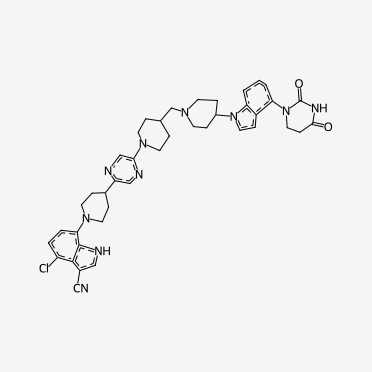 N#Cc1c[nH]c2c(N3CCC(c4cnc(N5CCC(CN6CCC(n7ccc8c(N9CCC(=O)NC9=O)cccc87)CC6)CC5)cn4)CC3)ccc(Cl)c12